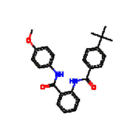 COc1ccc(NC(=O)c2ccccc2NC(=O)c2ccc(C(C)(C)C)cc2)cc1